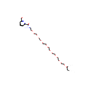 C=C(CC)OCCOCCOCCOCCOCCOCCOCCOCCNC(=O)c1cccc(C=O)n1